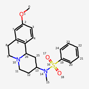 COc1ccc2c(c1)CCN1CCC(N(C)S(=O)(=O)c3ccccc3)CC21